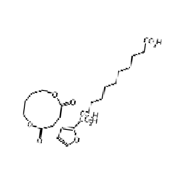 O=C(O)CCCCCCCCC(=O)O.O=C(O)c1ccco1.O=C1CCC(=O)OCCCCO1